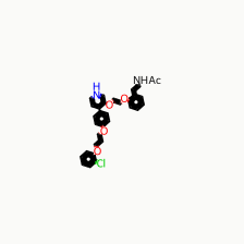 CC(=O)NCCc1ccccc1OCCO[C@H]1CNCC[C@@H]1c1ccc(OCCCOc2ccccc2Cl)cc1